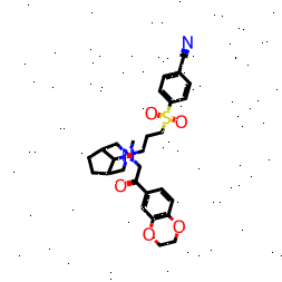 CN(CC(=O)c1ccc2c(c1)OCCO2)C1C2CCC1CN(CCCS(=O)(=O)c1ccc(C#N)cc1)C2